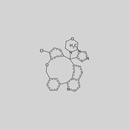 Cn1cncc1C1(N2CCOCC2)c2ccc(Cl)c(c2)OCc2cccc(c2)-c2nccc3ccc1cc23